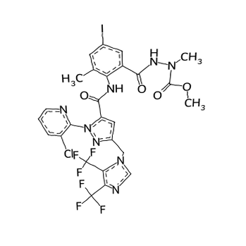 COC(=O)N(C)NC(=O)c1cc(I)cc(C)c1NC(=O)c1cc(Cn2cnc(C(F)(F)F)c2C(F)(F)F)nn1-c1ncccc1Cl